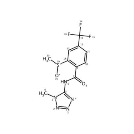 Cn1nnnc1NC(=O)c1ccc(C(F)(F)F)cc1[S+](C)[O-]